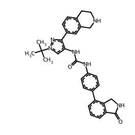 CC(C)(C)n1cc(NC(=O)Nc2ccc(-c3cccc4c3CNC4=O)cc2)c(-c2ccc3c(c2)CNCC3)n1